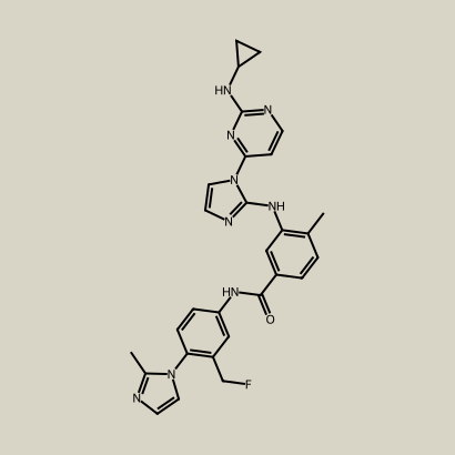 Cc1ccc(C(=O)Nc2ccc(-n3ccnc3C)c(CF)c2)cc1Nc1nccn1-c1ccnc(NC2CC2)n1